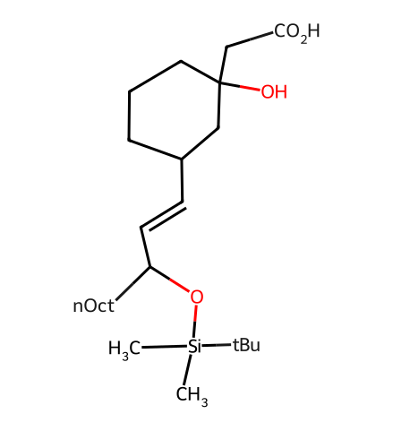 CCCCCCCCC(C=CC1CCCC(O)(CC(=O)O)C1)O[Si](C)(C)C(C)(C)C